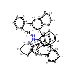 Cc1ccccc1-c1cc(-c2ccc3c(c2NC2=CCCC=C2)-c2c4cccc2-c2cccc-3c2C2C=CCC=C42)c2ccccc2c1